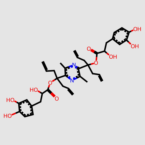 C=CCC(CC=C)(OC(=O)C(O)Cc1ccc(O)c(O)c1)c1nc(C)c(C(CC=C)(CC=C)OC(=O)C(O)Cc2ccc(O)c(O)c2)nc1C